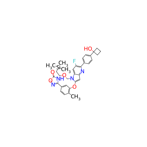 Cc1ccc(-c2noc(=O)[nH]2)cc1Oc1cc2nc(-c3ccc(C4(O)CCC4)cc3)c(F)cc2n1COCC[Si](C)(C)C